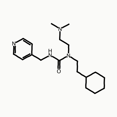 CN(C)CCN(CCC1CCCCC1)C(=O)NCc1ccncc1